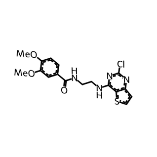 COc1ccc(C(=O)NCCNc2nc(Cl)nc3ccsc23)cc1OC